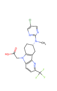 CN(c1ncc(Cl)cn1)[C@H]1CCc2c(c3nc(C(F)(F)F)ccc3n2CC(=O)O)C1